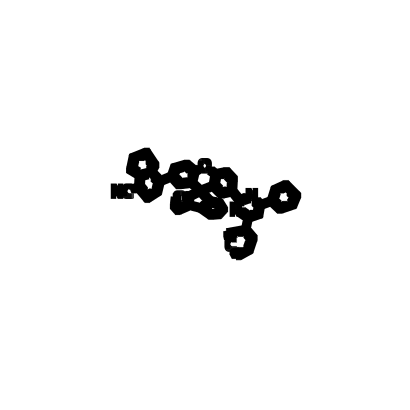 N#Cc1ccc(-c2ccc3c(c2)C2(c4cc(-c5nc(-c6ccccc6)cc(-c6ccccc6)n5)ccc4O3)c3ccccc3-c3ccccc32)c2ccccc12